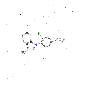 N#Cc1cn(-c2ccc(C(=O)O)cc2F)c2ccccc12